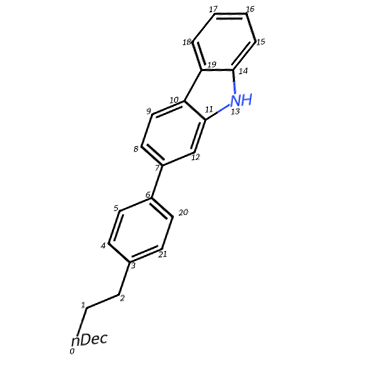 CCCCCCCCCCCCc1ccc(-c2ccc3c(c2)[nH]c2ccccc23)cc1